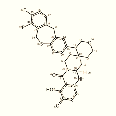 O=C1c2c(O)c(=O)ccn2N[C@@H]2C[C@]3(CCOCC3c3ccc4c(c3)Cc3ccc(F)c(F)c3CS4)CCN12